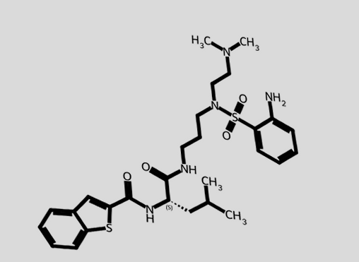 CC(C)C[C@H](NC(=O)c1cc2ccccc2s1)C(=O)NCCCN(CCN(C)C)S(=O)(=O)c1ccccc1N